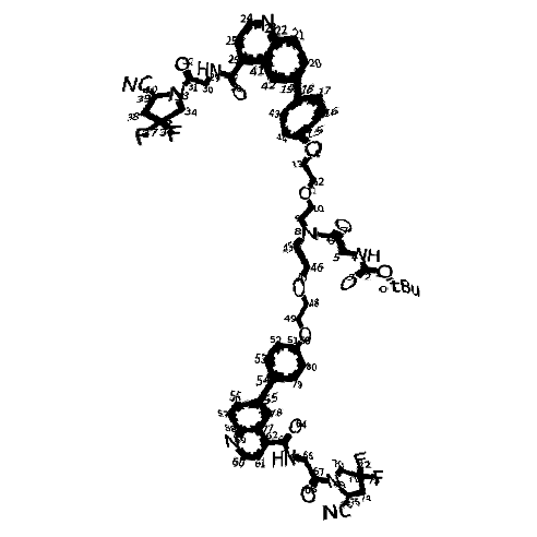 CC(C)(C)OC(=O)NCC(=O)N(CCOCCOc1ccc(-c2ccc3nccc(C(=O)NCC(=O)N4CC(F)(F)C[C@H]4C#N)c3c2)cc1)CCOCCOc1ccc(-c2ccc3nccc(C(=O)NCC(=O)N4CC(F)(F)C[C@H]4C#N)c3c2)cc1